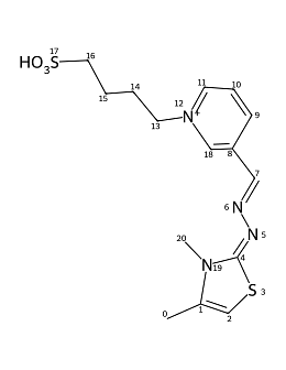 Cc1csc(=NN=Cc2ccc[n+](CCCCS(=O)(=O)O)c2)n1C